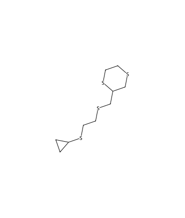 C(CSC1CC1)SCC1CSCCS1